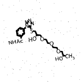 CC(=O)Nc1cccc(-n2nnnc2SCC(O)COCCOCCOCC(C)O)c1